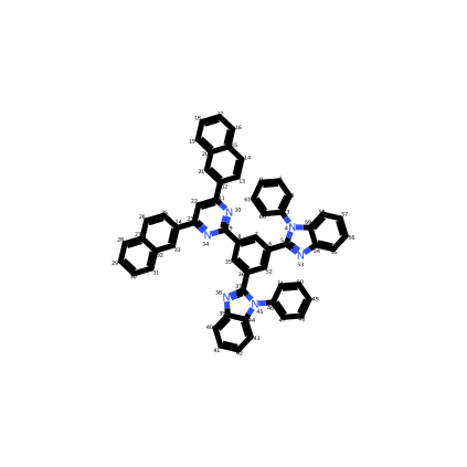 c1ccc(-n2c(-c3cc(-c4nc(-c5ccc6ccccc6c5)cc(-c5ccc6ccccc6c5)n4)cc(-c4nc5ccccc5n4-c4ccccc4)c3)nc3ccccc32)cc1